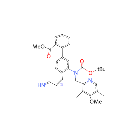 COC(=O)c1ccccc1-c1ccc(/C=C\C=N)c(N(Cc2ncc(C)c(OC)c2C)C(=O)OC(C)(C)C)c1